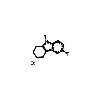 CC[C@@H]1CCc2c(c3cc(F)ccc3n2C)C1